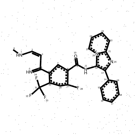 CN/C=C\C(=N)c1cc(C(=O)Nc2c(-c3ccccc3)nc3ccccn23)c(F)cc1C(F)(F)F